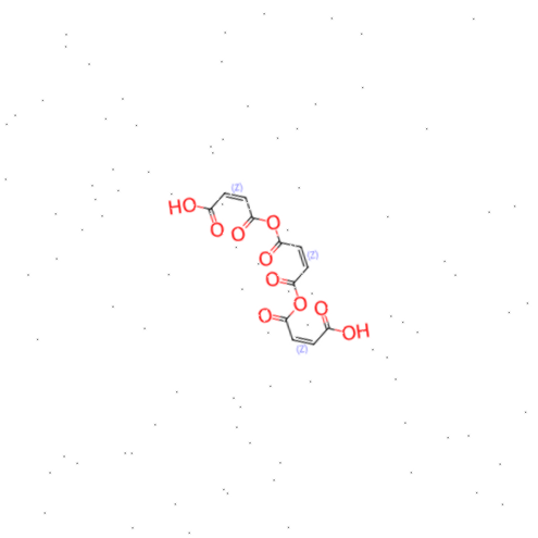 O=C(O)/C=C\C(=O)OC(=O)/C=C\C(=O)OC(=O)/C=C\C(=O)O